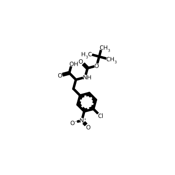 CC(C)(C)OC(=O)NC(Cc1ccc(Cl)c([N+](=O)[O-])c1)C(=O)O